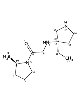 B[C@@H]1CCCN1C(=O)CN[C@]1(CC)CCNC1